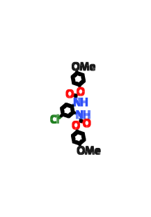 COc1ccc(OC(=O)Nc2ccc(Cl)cc2NC(=O)Oc2ccc(OC)cc2)cc1